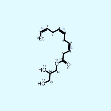 CC/C=C\C/C=C\C/C=C\CC(=O)OCC(O)CO